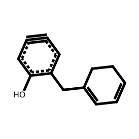 Oc1cc#ccc1CC1=CC=CCC1